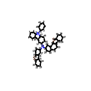 c1ccc(-n2c3ccccc3c3cc(N(c4ccc5sc6ccccc6c5c4)c4ccc5ccc6c7ccccc7sc6c5c4)ccc32)cc1